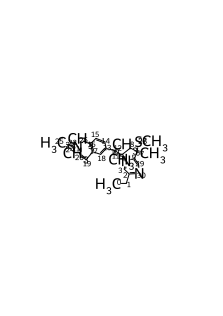 CCc1cnc(C(C)(CCC(C)(C)c2ccc3c(c2)C=CN(C(C)(C)C)C3)SC)cn1